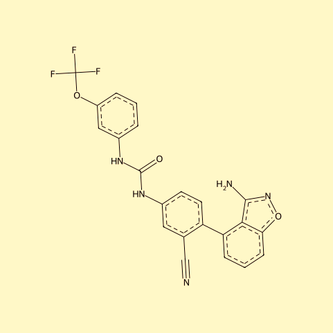 N#Cc1cc(NC(=O)Nc2cccc(OC(F)(F)F)c2)ccc1-c1cccc2onc(N)c12